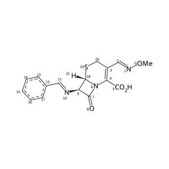 CON=CC1=C(C(=O)O)N2C(=O)[C@@H](N=Cc3ccccc3)[C@@H]2SC1